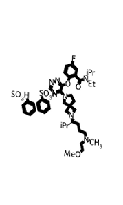 CCN(C(=O)c1cc(F)ccc1Oc1nncnc1N1CCC2(C1)CN([C@H](CCCN(C)CCOC)C(C)C)C2)C(C)C.O=S(=O)(O)c1ccccc1.O=S(=O)(O)c1ccccc1